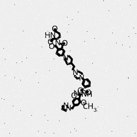 COc1cc(Cn2cccn2)cc2onc(NS(=O)(=O)c3cccc(N4CCN(CCC5CCN(c6ccc7c(c6)C(=O)N(C6CCC(=O)NC6=O)C7=O)CC5)CC4)c3)c12